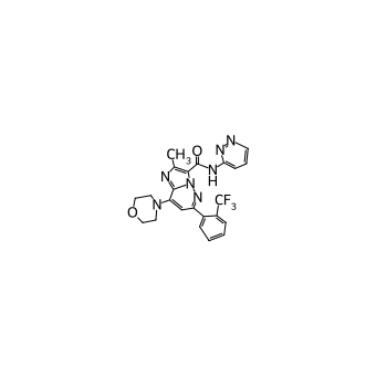 Cc1nc2c(N3CCOCC3)cc(-c3ccccc3C(F)(F)F)nn2c1C(=O)Nc1cccnn1